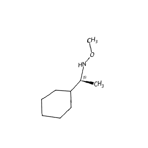 CON[C@@H](C)C1CCCCC1